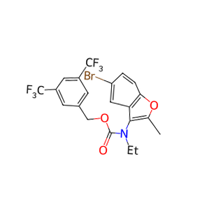 CCN(C(=O)OCc1cc(C(F)(F)F)cc(C(F)(F)F)c1)c1c(C)oc2ccc(Br)cc12